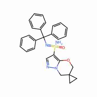 NS(=O)(=NC(c1ccccc1)(c1ccccc1)c1ccccc1)c1cnn2c1OCC1(CC1)C2